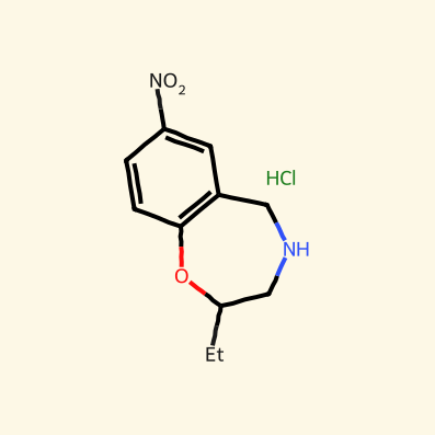 CCC1CNCc2cc([N+](=O)[O-])ccc2O1.Cl